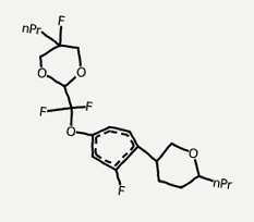 CCCC1CCC(c2ccc(OC(F)(F)C3OCC(F)(CCC)CO3)cc2F)CO1